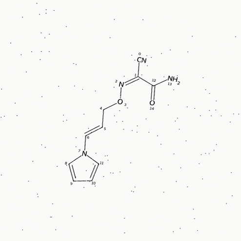 N#CC(=NOCC=Cn1cccc1)C(N)=O